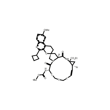 CCOC(=O)[C@@]12C[C@H]1/C=C\CCCCC[C@H](NC(=O)OC(C)(C)C)C(=O)N1C[C@@]3(CCc4c(c(C5CCC5)nc5ccc(OC)cc45)O3)C[C@H]1C(=O)N2